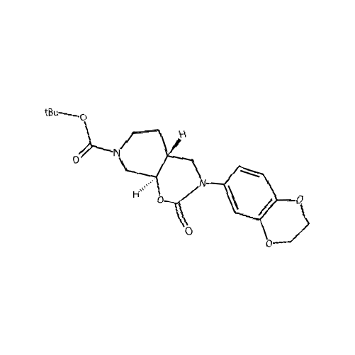 CC(C)(C)OC(=O)N1CC[C@@H]2CN(c3ccc4c(c3)OCCO4)C(=O)O[C@H]2C1